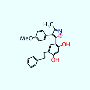 COc1ccc(-c2c(C)noc2-c2cc(/C=C/c3ccccc3)c(O)cc2O)cc1